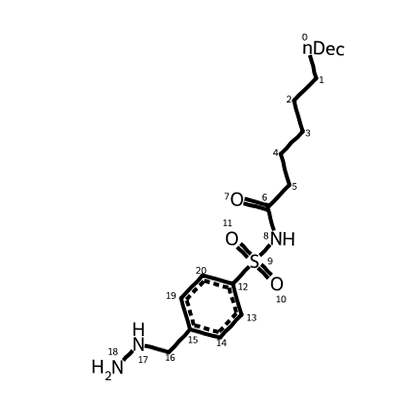 CCCCCCCCCCCCCCCC(=O)NS(=O)(=O)c1ccc(CNN)cc1